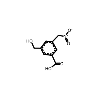 O=C(O)c1cc(CO)cc(C[N+](=O)[O-])c1